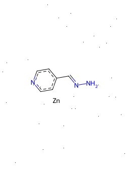 NN=Cc1ccncc1.[Zn]